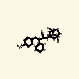 Cc1ccc(CC(C(=O)O[C@H]2C[C@H]3CC[C@@H](C2)N3C)c2ccccc2)cc1